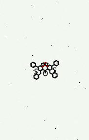 O=C(c1c(C2=CCC2)cc(-c2ccccc2)c2c1Cc1ccccc1S2)c1c(C2=CCC2)cc(-c2ccccc2)c2c1Cc1ccccc1S2